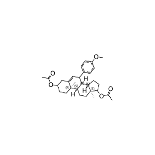 COc1ccc(C2C=C3CC(OC(C)=O)CC[C@]3(C)[C@H]3CC[C@]4(C)C(OC(C)=O)CC[C@H]4[C@H]23)cc1